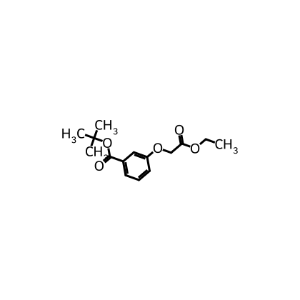 CCOC(=O)COc1cccc(C(=O)OC(C)(C)C)c1